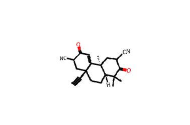 C#CC12CC[C@H]3C(C)(C)C(=O)C(C#N)C[C@]3(C)C1=CC(=O)C(C#N)C2